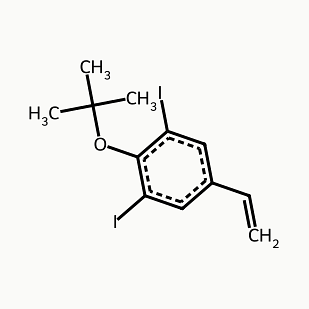 C=Cc1cc(I)c(OC(C)(C)C)c(I)c1